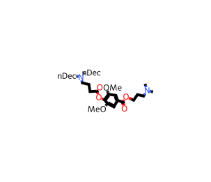 CCCCCCCCCCN(CCCCCCCCCC)CCCC(=O)Oc1c(OC)cc(C(=O)OCCCN(C)C)cc1OC